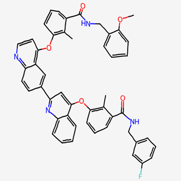 COc1ccccc1CNC(=O)c1cccc(Oc2ccnc3ccc(-c4cc(Oc5cccc(C(=O)NCc6cccc(F)c6)c5C)c5ccccc5n4)cc23)c1C